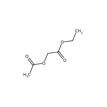 [CH2]COC(=O)COC(C)=O